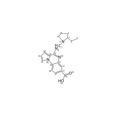 CCC1CCCN1CNc1nc2cc(C(=O)O)ccc2n2cccc12